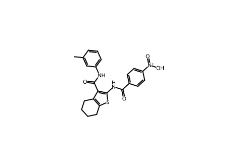 Cc1cccc(NC(=O)c2c(NC(=O)c3ccc([N+](=O)O)cc3)sc3c2CCCC3)c1